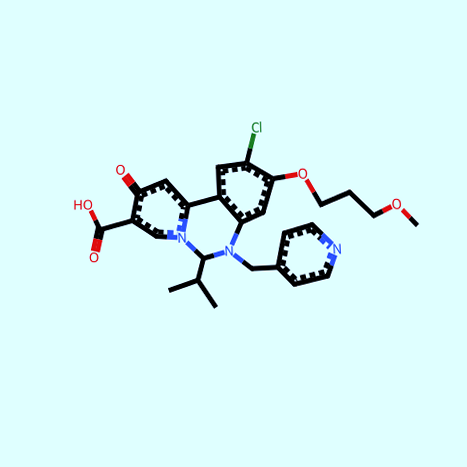 COCCCOc1cc2c(cc1Cl)-c1cc(=O)c(C(=O)O)cn1C(C(C)C)N2Cc1ccncc1